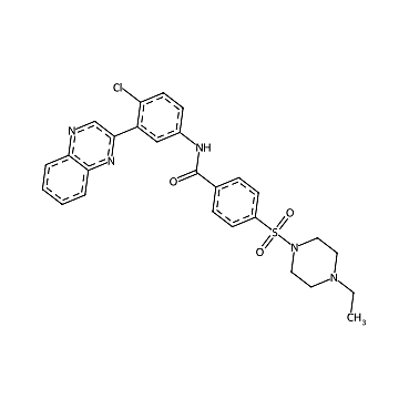 CCN1CCN(S(=O)(=O)c2ccc(C(=O)Nc3ccc(Cl)c(-c4cnc5ccccc5n4)c3)cc2)CC1